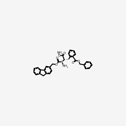 NOC(=O)[C@H](Cc1ccccc1C(=O)OCc1ccccc1)N(N)C(=O)OCc1ccc2c(c1)-c1ccccc1C2